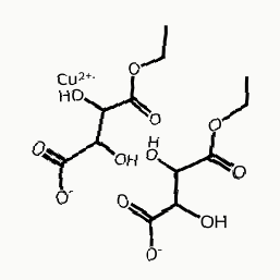 CCOC(=O)C(O)C(O)C(=O)[O-].CCOC(=O)C(O)C(O)C(=O)[O-].[Cu+2]